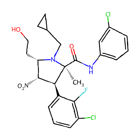 C[C@]1(C(=O)Nc2cccc(Cl)c2)[C@@H](c2cccc(Cl)c2F)[C@H]([N+](=O)[O-])[C@H](CCO)N1CC1CC1